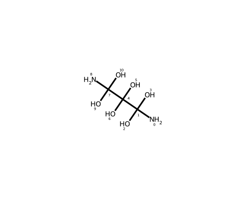 NC(O)(O)C(O)(O)C(N)(O)O